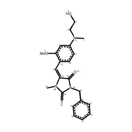 COc1cc(N(C)CCO)ccc1/C=C1\C(=O)N(Cc2ccccc2)C(=S)N1C